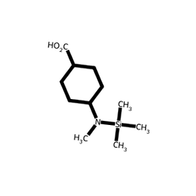 CN(C1CCC(C(=O)O)CC1)[Si](C)(C)C